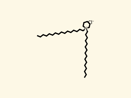 CCCCCCCCCCCCCCCC[N+]1(CCCCCCCCCCCCCCCC)CCCCC1.[Cl-]